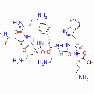 CC(=O)[C@H](CCCN)NC(=O)[C@@H](Cc1c[nH]c2ccccc12)NC(=O)[C@H](CCCN)NC(=O)[C@@H](Cc1ccccc1)NC(=O)[C@H](CCCN)NC(=O)[C@@H](CCC(N)=O)NC(=O)[C@@H](N)CCCN